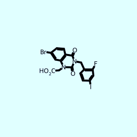 O=C(O)Cn1c(=O)n(Cc2ccc(I)cc2F)c(=O)c2ccc(Br)cc21